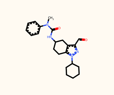 CN(C(=O)NC1CCc2c(c(C=O)nn2C2CCCCC2)C1)c1ccccc1